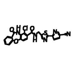 N#Cc1ccc(-c2ncc(CNC(=O)c3ccc4c(c3Cl)NC(=O)c3ccccc3O4)s2)nc1